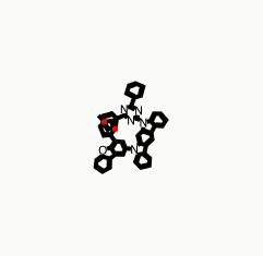 Cc1ccc(-c2cc(-n3c4ccccc4c4cc5c6ccccc6n(-c6nc(-c7ccccc7)nc(-c7ccccc7)n6)c5cc43)cc3c2oc2ccccc23)cc1